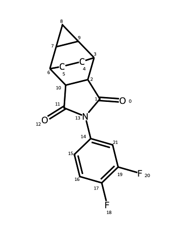 O=C1C2C3CCC(C4CC43)C2C(=O)N1c1ccc(F)c(F)c1